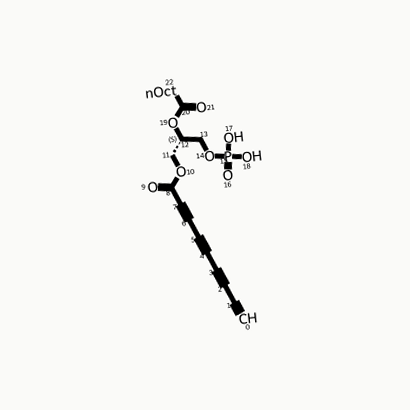 C#CC#CC#CC#CC(=O)OC[C@@H](COP(=O)(O)O)OC(=O)CCCCCCCC